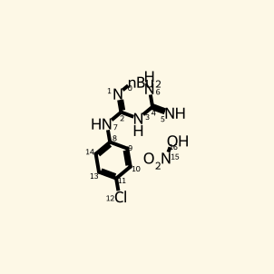 CCCCN=C(NC(=N)N)Nc1ccc(Cl)cc1.O=[N+]([O-])O